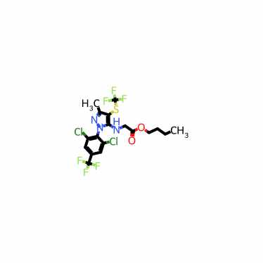 CCCCOC(=O)CNc1c(SC(F)(F)F)c(C)nn1-c1c(Cl)cc(C(F)(F)F)cc1Cl